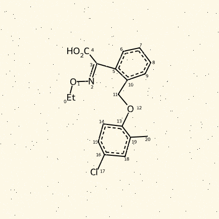 CCON=C(C(=O)O)c1ccccc1COc1ccc(Cl)cc1C